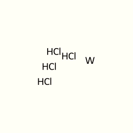 Cl.Cl.Cl.Cl.[W]